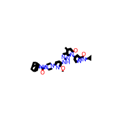 COc1nc(N2CCN(C(=O)NC34CC5CC(CC(C5)C3)C4)CC2)ccc1Nc1ncc2c(C)cc(=O)n(-c3ccnc(C(=O)NC4CC4)c3)c2n1